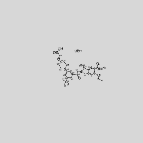 Br.CCOc1cc2c(nc1C(=O)NC)C(=N)N(CC(=O)c1cc(N3CCC(OCC(=O)O)CC3)cc(C(C)(C)C)c1)C2